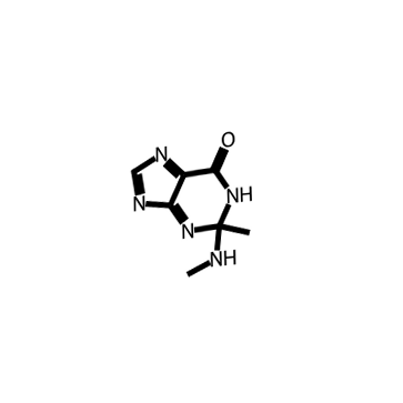 CNC1(C)N=C2N=CN=C2C(=O)N1